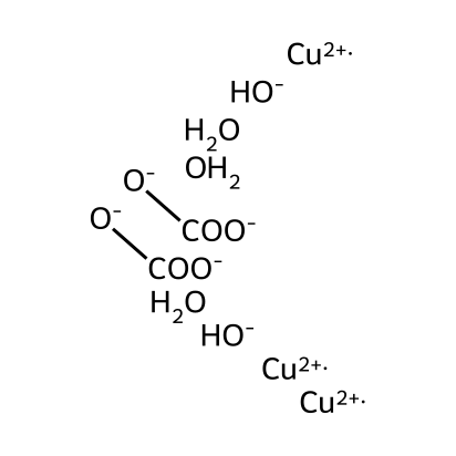 O.O.O.O=C([O-])[O-].O=C([O-])[O-].[Cu+2].[Cu+2].[Cu+2].[OH-].[OH-]